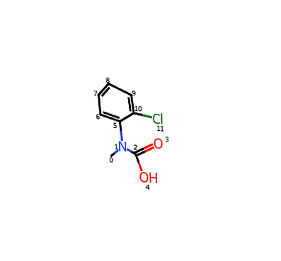 CN(C(=O)O)c1ccccc1Cl